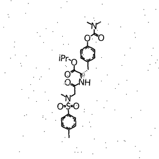 Cc1ccc(S(=O)(=O)N(C)CC(=O)N[C@@H](Cc2ccc(OC(=O)N(C)C)cc2)C(=O)OC(C)C)cc1